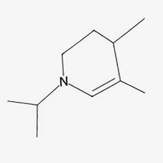 CC1=CN(C(C)C)CCC1C